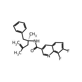 C=C(C)C[C@@](C)(Cc1ccccc1)NC(=O)c1cnc2c(F)c(F)ccc2c1